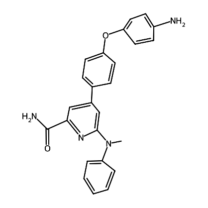 CN(c1ccccc1)c1cc(-c2ccc(Oc3ccc(N)cc3)cc2)cc(C(N)=O)n1